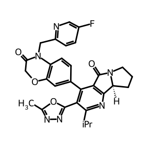 Cc1nnc(-c2c(C(C)C)nc3c(c2-c2ccc4c(c2)OCC(=O)N4Cc2ccc(F)cn2)C(=O)N2CCC[C@@H]32)o1